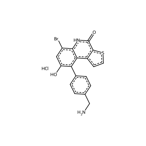 Cl.NCc1ccc(-c2c(O)cc(Br)c3[nH]c(=O)c4sccc4c23)cc1